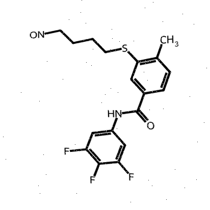 Cc1ccc(C(=O)Nc2cc(F)c(F)c(F)c2)cc1SCCCCN=O